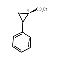 CCOC(=O)[C@@H]1CC1c1ccccc1